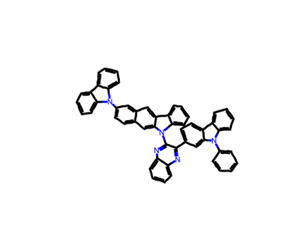 c1ccc(-n2c3ccccc3c3ccc(-c4nc5ccccc5nc4-n4c5ccccc5c5cc6cc(-n7c8ccccc8c8ccccc87)ccc6cc54)cc32)cc1